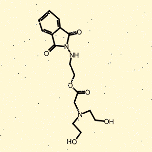 O=C(CN(CCO)CCO)OCCNN1C(=O)c2ccccc2C1=O